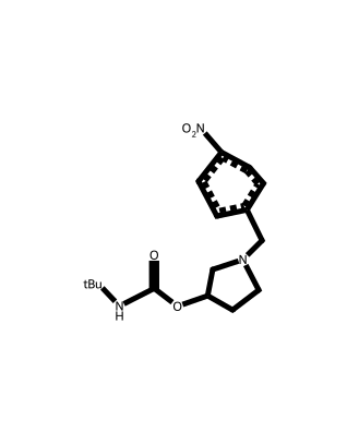 CC(C)(C)NC(=O)OC1CCN(Cc2ccc([N+](=O)[O-])cc2)C1